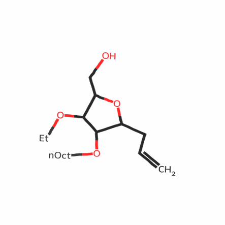 C=CCC1OC(CO)C(OCC)C1OCCCCCCCC